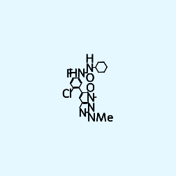 CNc1ncc2cc(-c3cc(NC(=O)NC4CCCCC4)c(F)cc3Cl)c(=O)n(C)c2n1